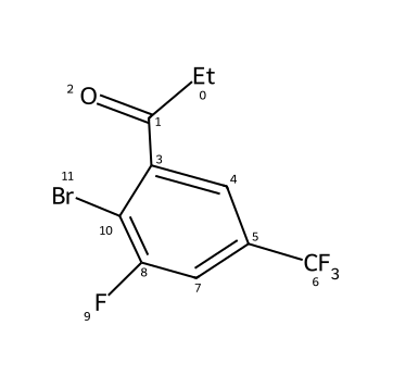 CCC(=O)c1cc(C(F)(F)F)cc(F)c1Br